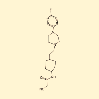 N#CCC(=O)NC1CCC(CCN2CCN(c3ccc(F)cc3)CC2)CC1